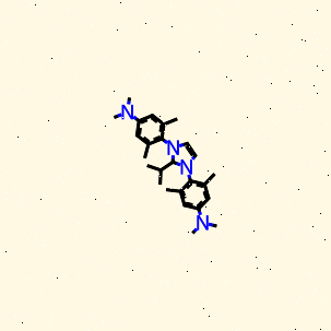 Cc1cc(N(C)C)cc(C)c1N1C=CN(c2c(C)cc(N(C)C)cc2C)C1C(C)C